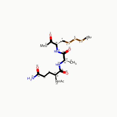 COC(=O)[C@H](CSSSC(C)(C)C)NC(=O)[C@H](C)NC(=O)[C@H](CCC(N)=O)NC(C)=O